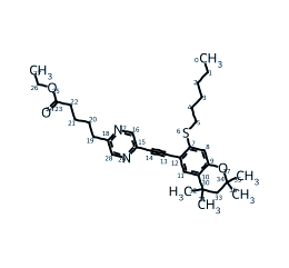 CCCCCCSc1cc2c(cc1C#Cc1cnc(CCCCC(=O)OCC)cn1)C(C)(C)CC(C)(C)O2